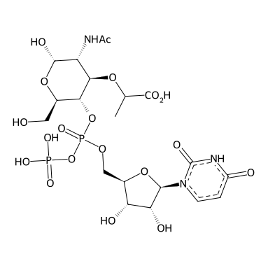 CC(=O)N[C@@H]1[C@@H](OC(C)C(=O)O)[C@H](OP(=O)(OC[C@H]2O[C@@H](n3ccc(=O)[nH]c3=O)[C@H](O)[C@@H]2O)OP(=O)(O)O)[C@@H](CO)O[C@@H]1O